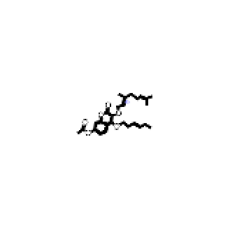 CCC=CCCOc1c(OC/C=C(\C)CCC=C(C)C)c(=O)oc2cc(OC(C)=O)ccc12